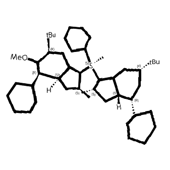 COC1[C@H](C2CCCCC2)[C@@H]2C[C@H](C)C([S@@](C)(C3CCCCC3)C3C4C[C@H](C(C)(C)C)C[C@H](C5CCCCC5)[C@@H]4C[C@@H]3C)C2C[C@@H]1C(C)(C)C